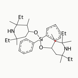 CCC1(C)CC(O[Si](OC2CC(C)(CC)NC(C)(CC)C2C)(c2ccccc2)c2ccccc2)C(C)C(C)(CC)N1